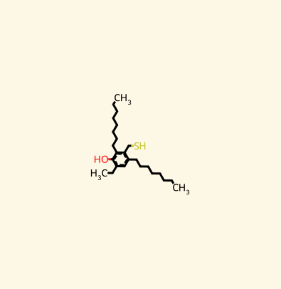 CCCCCCCCc1cc(CC)c(O)c(CCCCCCCC)c1CS